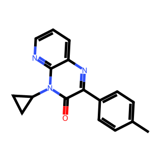 Cc1ccc(-c2nc3cccnc3n(C3CC3)c2=O)cc1